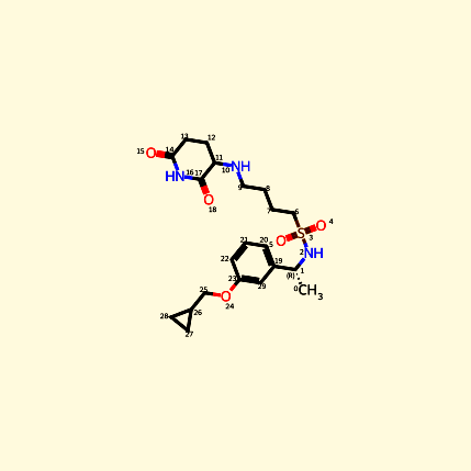 C[C@@H](NS(=O)(=O)CCCCNC1CCC(=O)NC1=O)c1cccc(OCC2CC2)c1